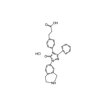 Cl.O=C(O)CCc1ccc(-n2c(-c3ccccc3)nn(-c3ccc4c(c3)CCNCC4)c2=O)cc1